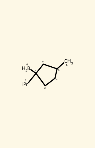 BC1(C(C)C)CCC(C)C1